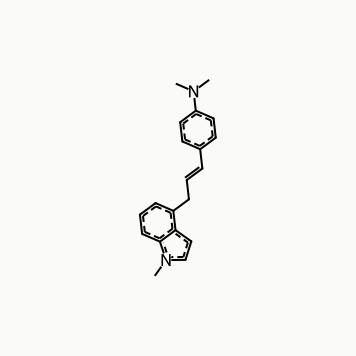 CN(C)c1ccc(/C=C/Cc2cccc3c2ccn3C)cc1